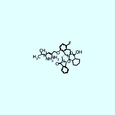 CC(C)N(N)/C=C(\N)COc1ccc(F)c2c1[C@@H](CN1Cc3ccccc3C1=O)N(C(=O)[C@@H]1CCCC[C@@H]1C(=O)O)CC2